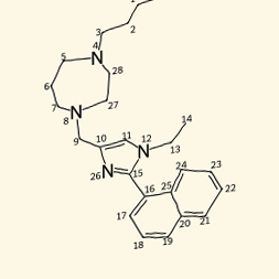 CCCCN1CCCN(Cc2cn(CC)c(-c3cccc4ccccc34)n2)CC1